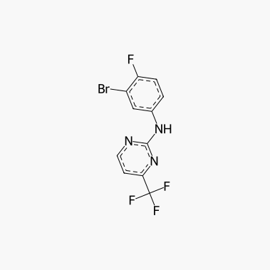 Fc1ccc(Nc2nccc(C(F)(F)F)n2)cc1Br